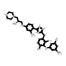 Cc1cc(OC[C@@H](O)CN2CCOCC2)ccc1-c1nnc(Cc2ccc(Cl)c(Oc3cc(N)cc(Cl)c3)c2F)o1